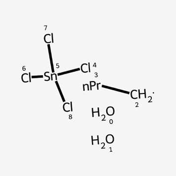 O.O.[CH2]CCC.[Cl][Sn]([Cl])([Cl])[Cl]